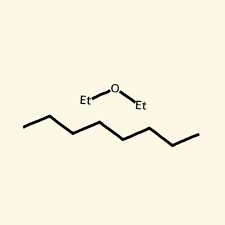 CCCCCCCC.CCOCC